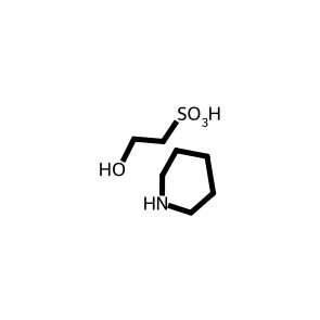 C1CCNCC1.O=S(=O)(O)CCO